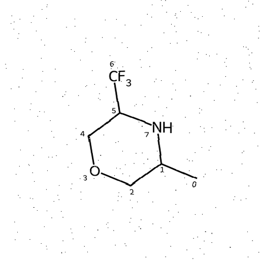 CC1COCC(C(F)(F)F)N1